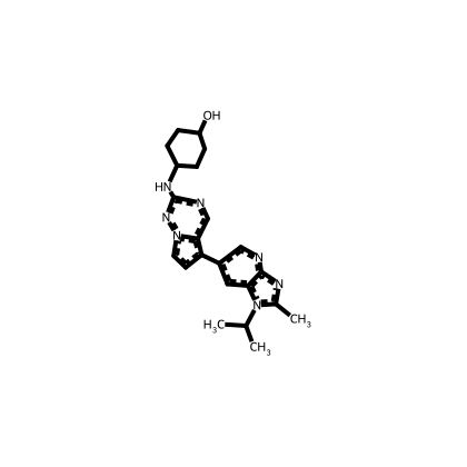 Cc1nc2ncc(-c3ccn4nc(NC5CCC(O)CC5)ncc34)cc2n1C(C)C